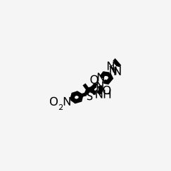 Cc1c(-c2ccc([N+](=O)[O-])cc2)sc2[nH]c(=O)n(-c3ccc(-n4nccn4)cn3)c(=O)c12